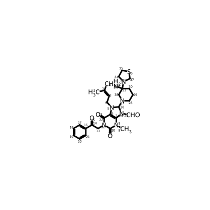 CC(C)=CCN1c2c(n(C)c(=O)n(CC(=O)c3ccccc3)c2=O)N(C=O)C1N1CCCC(N)(N2CCSC2)C1